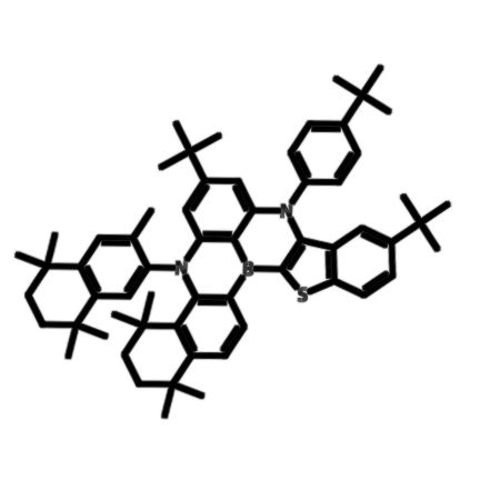 Cc1cc2c(cc1N1c3cc(C(C)(C)C)cc4c3B(c3ccc5c(c31)C(C)(C)CCC5(C)C)c1sc3ccc(C(C)(C)C)cc3c1N4c1ccc(C(C)(C)C)cc1)C(C)(C)CCC2(C)C